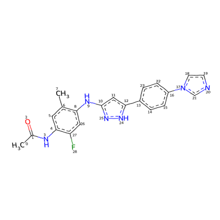 CC(=O)Nc1cc(C)c(Nc2cc(-c3ccc(-n4ccnc4)cc3)[nH]n2)cc1F